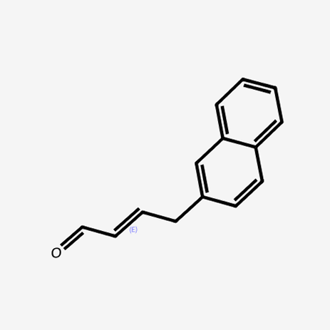 O=C/C=C/Cc1ccc2ccccc2c1